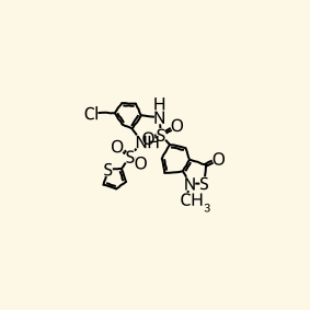 Cn1sc(=O)c2cc(S(=O)(=O)Nc3ccc(Cl)cc3NS(=O)(=O)c3cccs3)ccc21